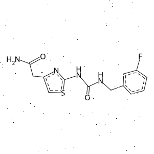 NC(=O)Cc1csc(NC(=O)NCc2cccc(F)c2)n1